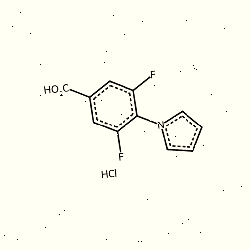 Cl.O=C(O)c1cc(F)c(-n2cccc2)c(F)c1